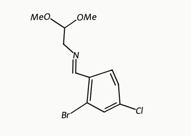 COC(CN=Cc1ccc(Cl)cc1Br)OC